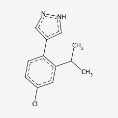 CC(C)c1cc(Cl)ccc1-c1cn[nH]c1